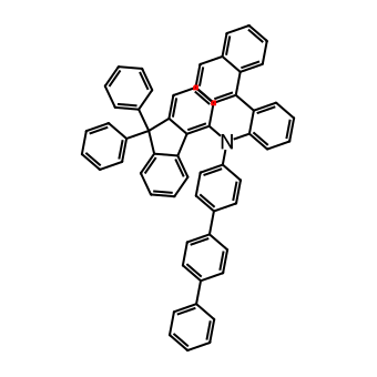 c1ccc(-c2ccc(-c3ccc(N(c4ccccc4-c4cccc5ccccc45)c4cccc5c4-c4ccccc4C5(c4ccccc4)c4ccccc4)cc3)cc2)cc1